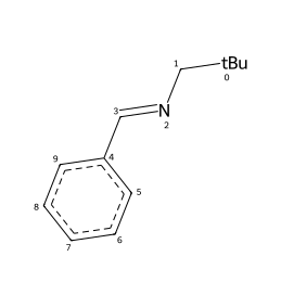 CC(C)(C)CN=Cc1ccccc1